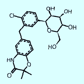 CC1(C)Oc2ccc(Cc3cc([C@@H]4O[C@H](CO)C(O)[C@H](O)C4O)ccc3Cl)cc2NC1=O